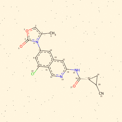 Cc1coc(=O)n1-c1cc(Cl)c2cnc(NC(=O)[C@@H]3CC3C#N)cc2c1